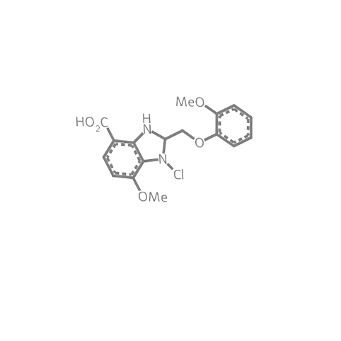 COc1ccccc1OCC1Nc2c(C(=O)O)ccc(OC)c2N1Cl